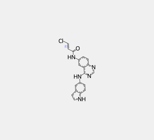 O=C(/C=C/Cl)Nc1ccc2ncnc(Nc3ccc4[nH]ccc4c3)c2c1